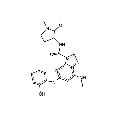 CNc1cc(Nc2ccccc2O)nc2c(C(=O)NC3CCN(C)C3=O)cnn12